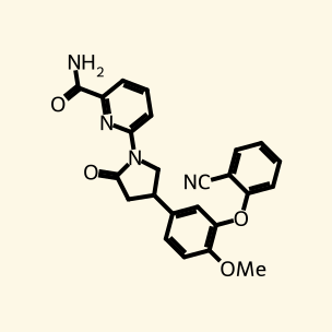 COc1ccc(C2CC(=O)N(c3cccc(C(N)=O)n3)C2)cc1Oc1ccccc1C#N